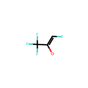 [O]/C(=C\F)C(F)(F)F